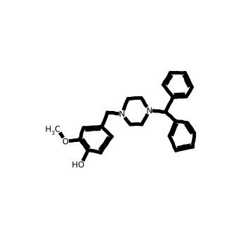 COc1cc(CN2CCN(C(c3ccccc3)c3ccccc3)CC2)ccc1O